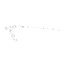 CC(=O)SCCOCCOCCOCCOCCOCCOCCOCCOCCC(=O)NCCCOc1ccc(NC(=O)[C@H](CC(=O)O)NC(=O)CNC(=O)c2cccc(N=C3N=CCCN3)c2)cc1